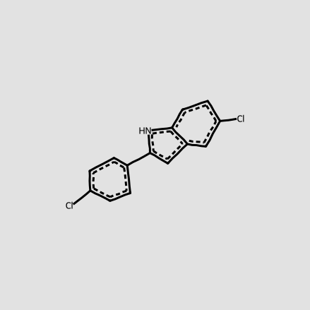 Clc1ccc(-c2cc3cc(Cl)ccc3[nH]2)cc1